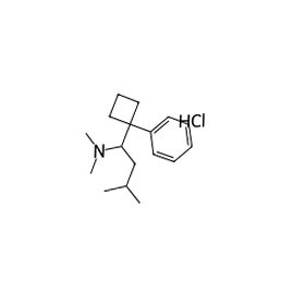 CC(C)CC(N(C)C)C1(c2ccccc2)CCC1.Cl